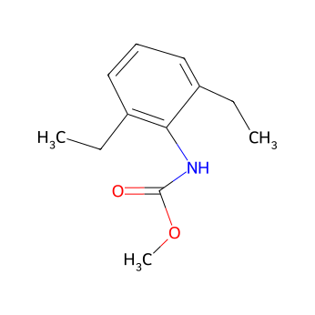 CCc1cccc(CC)c1NC(=O)OC